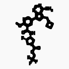 COc1ncc(-c2cc(CN3CCC3)c3c(N)ncnn23)cc1C(=O)N[C@@H]1CN(C(=O)OCC(F)(F)F)C[C@@H]1F